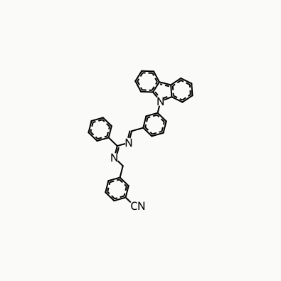 N#Cc1cccc(C/N=C(\N=C\c2cccc(-n3c4ccccc4c4ccccc43)c2)c2ccccc2)c1